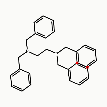 c1ccc(CP(CCP(Cc2ccccc2)Cc2ccccc2)Cc2ccccc2)cc1